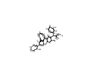 Cc1cc(F)c(-c2ncnc3cc(N4CCOCC4)ccc23)cc1C(C(N)=O)c1ccccn1